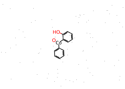 [O]=[Co]([c]1ccccc1)[c]1ccccc1O